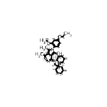 CCOc1ccc(-n2c(C)c3c(C)nnc(NCC4(N5CCCCC5)CCCCC4)c3c2C)c(OC)c1